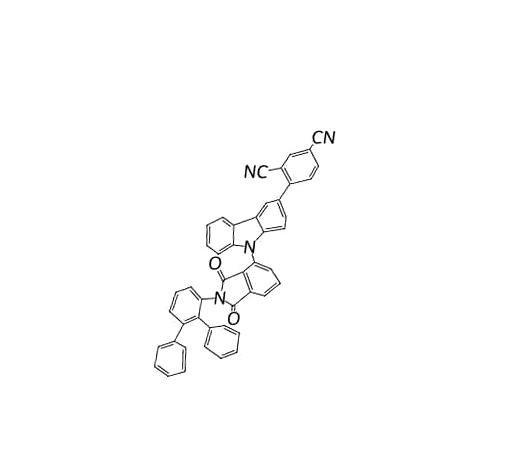 N#Cc1ccc(-c2ccc3c(c2)c2ccccc2n3-c2cccc3c2C(=O)N(c2cccc(-c4ccccc4)c2-c2ccccc2)C3=O)c(C#N)c1